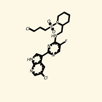 O=S(=O)(CCCCl)N1CCCCC1CNc1nc(-c2c[nH]c3ncc(Cl)cc23)ncc1F